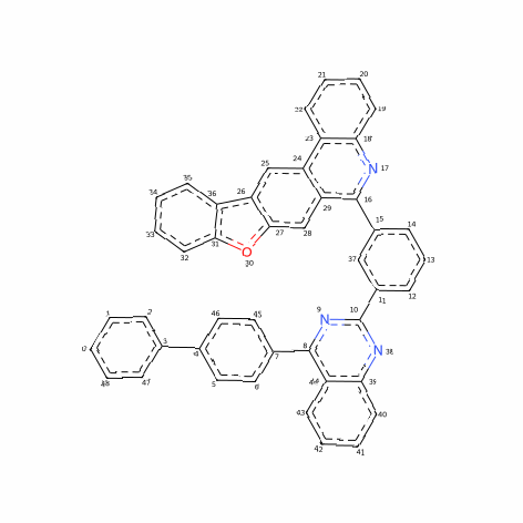 c1ccc(-c2ccc(-c3nc(-c4cccc(-c5nc6ccccc6c6cc7c(cc56)oc5ccccc57)c4)nc4ccccc34)cc2)cc1